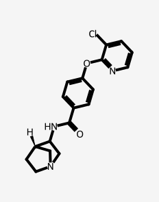 O=C(NC1CN2CC[C@H]1C2)c1ccc(Oc2ncccc2Cl)cc1